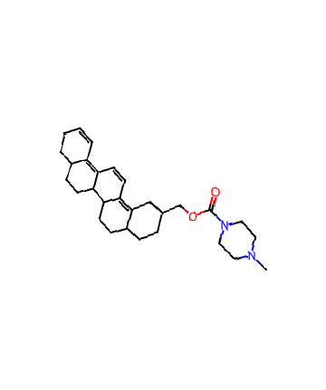 CN1CCN(C(=O)OCC2CCC3CCC4C(=C3C2)C=CC2=C3C=CCCC3CCC24)CC1